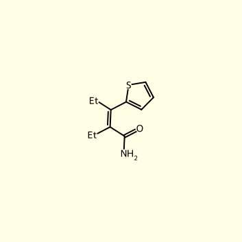 CCC(C(N)=O)=C(CC)c1cccs1